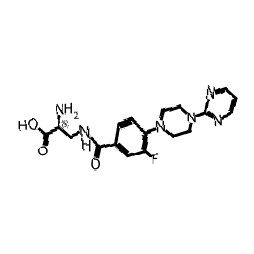 N[C@@H](CNC(=O)c1ccc(N2CCN(c3ncccn3)CC2)c(F)c1)C(=O)O